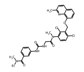 CCN(C)C(=O)c1cccc(NC(=O)NCC(=O)N(C)c2ccc(Cl)c(COc3cccc4ccc(C)nc34)c2Cl)c1